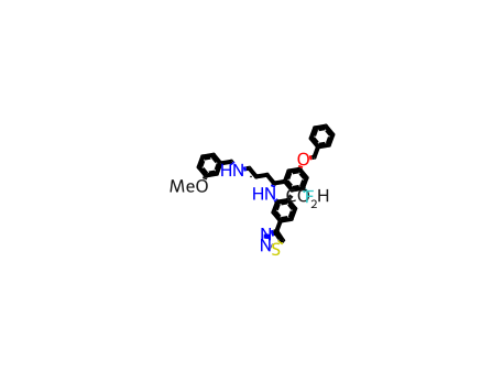 COc1cccc(CNC[CH]CC(Nc2cc(-c3csnn3)ccc2C(=O)O)c2cc(F)cc(OCc3ccccc3)c2)c1